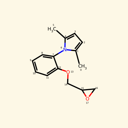 Cc1ccc(C)n1-c1ccccc1OCC1CO1